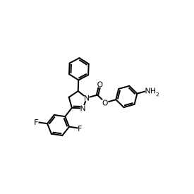 Nc1ccc(OC(=O)N2N=C(c3cc(F)ccc3F)CC2c2ccccc2)cc1